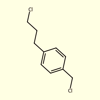 ClCCCc1ccc(CCl)cc1